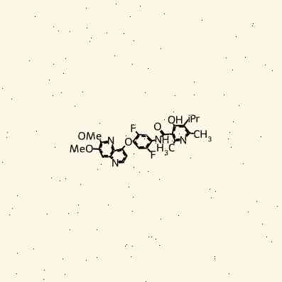 COc1cc2nccc(Oc3cc(F)c(NC(=O)c4c(C)nc(C)c(C(C)C)c4O)cc3F)c2nc1OC